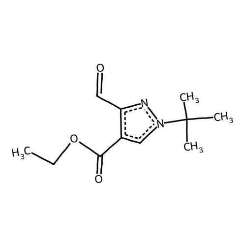 CCOC(=O)c1cn(C(C)(C)C)nc1C=O